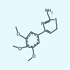 COc1cc(C2=CCSC(N)=N2)cc(OC)c1OC